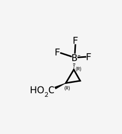 O=C(O)[C@@H]1C[C@H]1[B-](F)(F)F